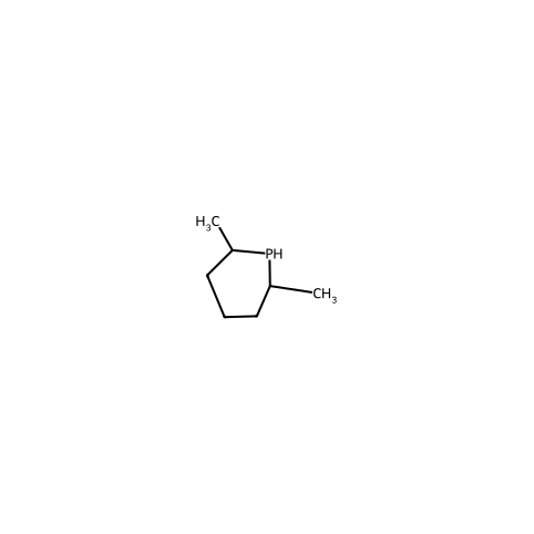 CC1CCCC(C)P1